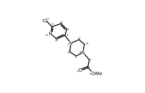 COC(=O)CN1CCN(c2ccc(Cl)nc2)CC1